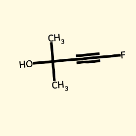 CC(C)(O)C#CF